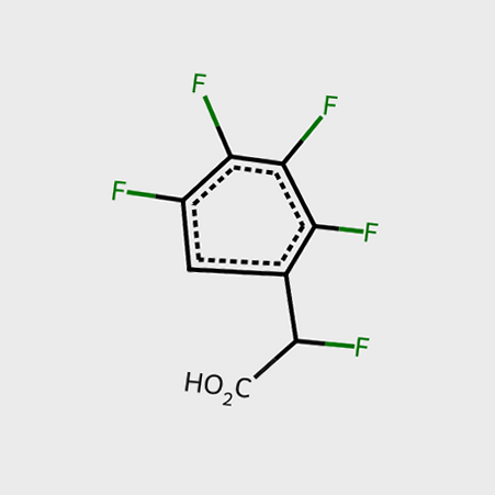 O=C(O)C(F)c1cc(F)c(F)c(F)c1F